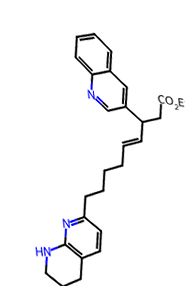 CCOC(=O)CC(C=CCCCCc1ccc2c(n1)NCCC2)c1cnc2ccccc2c1